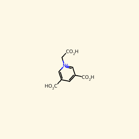 O=C(O)C[n+]1cc(C(=O)O)cc(C(=O)O)c1